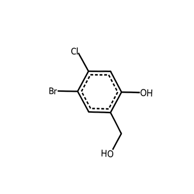 OCc1cc(Br)c(Cl)cc1O